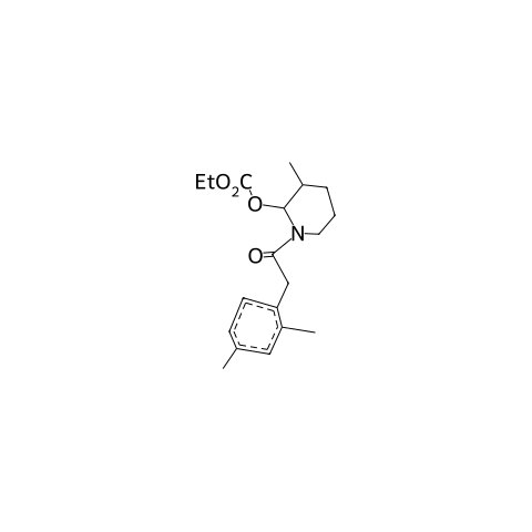 CCOC(=O)OC1C(C)CCCN1C(=O)Cc1ccc(C)cc1C